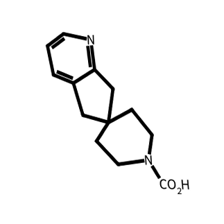 O=C(O)N1CCC2(CC1)Cc1cccnc1C2